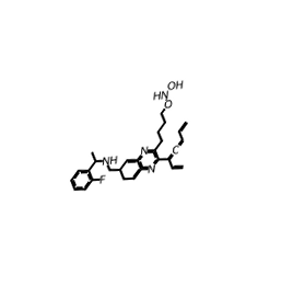 C=CC=C=C(C=C)c1nc2c(nc1CCCCONO)=CC(CNC(C)c1ccccc1F)CC=2